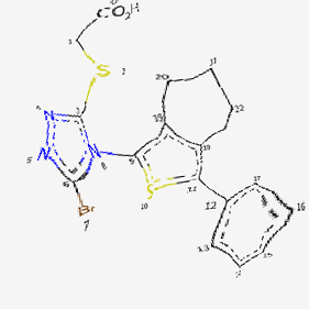 O=C(O)CSc1nnc(Br)n1-c1sc(-c2ccccc2)c2c1CCC2